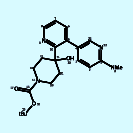 CNc1ccc(-c2cccnc2C2(O)CCN(C(=O)OC(C)(C)C)CC2)cn1